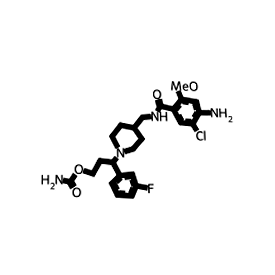 COc1cc(N)c(Cl)cc1C(=O)NCC1CCN(C(CCOC(N)=O)c2cccc(F)c2)CC1